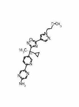 COCCn1cc(-c2nc([C@](C)(c3ccc(-c4cnc(N)cn4)nc3)C3CC3)no2)cn1